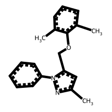 Cc1cc(COc2c(C)cccc2C)n(-c2ccccc2)n1